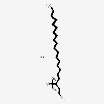 CCCCCCCCCCCCCCCCCCC(CCC)C(C)(C)N.Cl